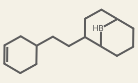 B1C2CCCC1C(CCC1CC=CCC1)CC2